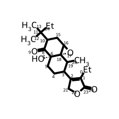 CCC1=C(C2CC[C@@]3(O)C(=O)C(C(C)(C)CC)CC4O[C@@]43C2C)COC1=O